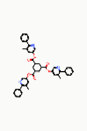 Cc1cc(OC(=O)C2CC(C(=O)Oc3cnc(-c4ccccc4)c(C)c3)CC(C(=O)Oc3cnc(-c4ccccc4)c(C)c3)C2)cnc1-c1ccccc1